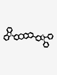 c1ccc(-c2nc3cc(-c4ccc5cc6c(cc5c4)Cc4ccc(-n5c7ccccc7c7ccccc75)cc4C6)ccc3n2-c2ccccc2)cc1